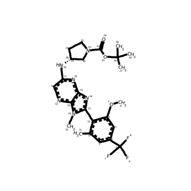 COc1cc(C(F)(F)F)cc(C)c1-c1nc2nc(N[C@@H]3CCN(C(=O)OC(C)(C)C)C3)cnc2n1C